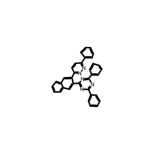 c1ccc(-c2ccc(-c3cc4ccccc4cc3-c3nc(-c4ccccc4)nc(-c4ccccc4)n3)nn2)cc1